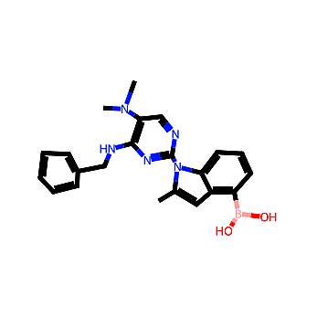 Cc1cc2c(B(O)O)cccc2n1-c1ncc(N(C)C)c(NCc2ccccc2)n1